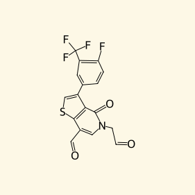 O=CCn1cc(C=O)c2scc(-c3ccc(F)c(C(F)(F)F)c3)c2c1=O